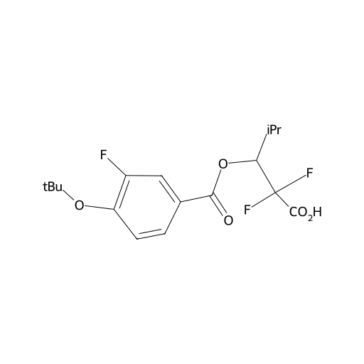 CC(C)C(OC(=O)c1ccc(OC(C)(C)C)c(F)c1)C(F)(F)C(=O)O